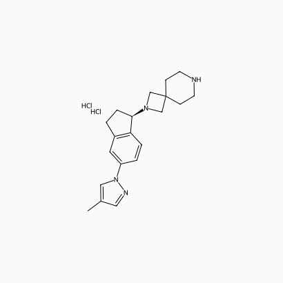 Cc1cnn(-c2ccc3c(c2)CC[C@H]3N2CC3(CCNCC3)C2)c1.Cl.Cl